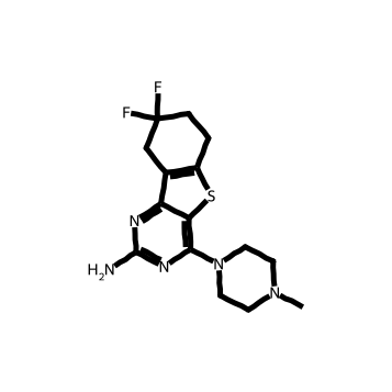 CN1CCN(c2nc(N)nc3c4c(sc23)CCC(F)(F)C4)CC1